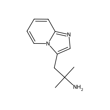 CC(C)(N)Cc1cnc2ccccn12